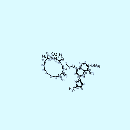 COc1ccc2c(OCC[C@@H]3NC(=O)N(C)CCCCC=C[C@@H]4C[C@@]4(C(=O)O)NC3=O)cc(-n3ccc(C(F)(F)F)n3)nc2c1Cl